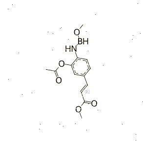 COBNc1ccc(/C=C/C(=O)OC)cc1OC(C)=O